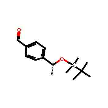 C[C@@H](O[Si](C)(C)C(C)(C)C)c1ccc(C=O)cc1